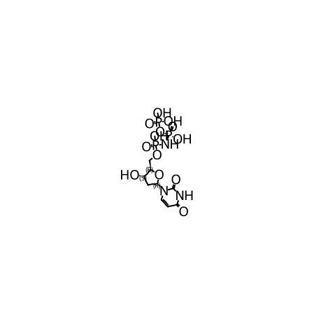 O=c1ccn([C@H]2C[C@H](O)[C@@H](COP(=O)(O)NP(=O)(O)OP(=O)(O)O)O2)c(=O)[nH]1